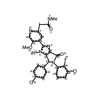 CNC(=O)Cc1cc(-c2nc3c(n2C(C)C)C(c2ccc(Cl)cc2)N(c2cccc(Cl)c2F)C3=O)c(OC)cn1